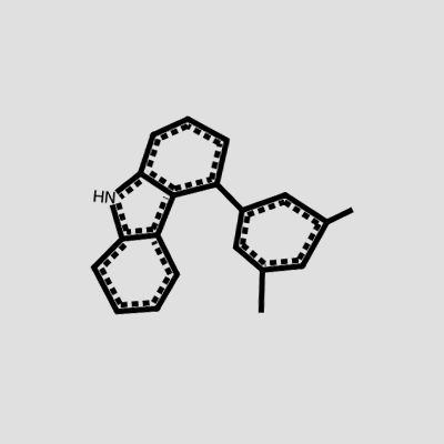 Cc1cc(C)cc(-c2cccc3[nH]c4ccccc4c23)c1